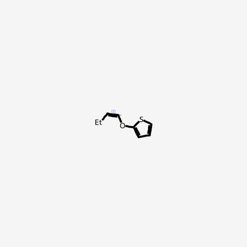 CC/C=[C]\Oc1cccs1